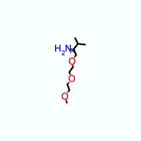 COCCOCCOC[C@H](N)C(C)C